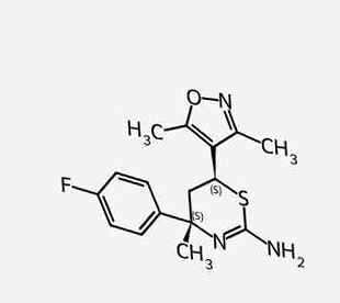 Cc1noc(C)c1[C@@H]1C[C@@](C)(c2ccc(F)cc2)N=C(N)S1